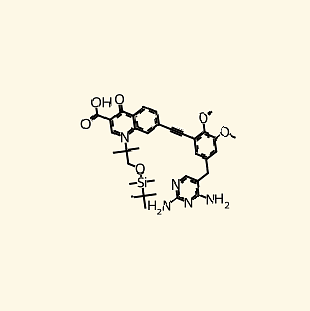 COc1cc(Cc2cnc(N)nc2N)cc(C#Cc2ccc3c(=O)c(C(=O)O)cn(C(C)(C)CO[Si](C)(C)C(C)(C)C)c3c2)c1OC